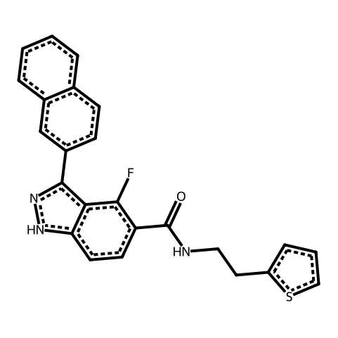 O=C(NCCc1cccs1)c1ccc2[nH]nc(-c3ccc4ccccc4c3)c2c1F